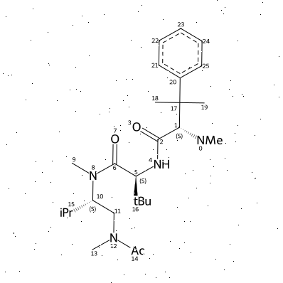 CN[C@H](C(=O)N[C@H](C(=O)N(C)[C@H](CN(C)C(C)=O)C(C)C)C(C)(C)C)C(C)(C)c1ccccc1